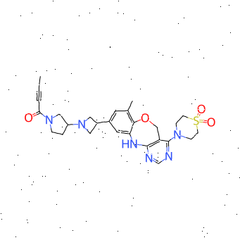 CC#CC(=O)N1CCC(N2CC(c3cc(C)c4c(c3)Nc3ncnc(N5CCS(=O)(=O)CC5)c3CO4)C2)C1